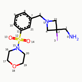 NCC1(I)CN(Cc2cccc(S(=O)(=O)N3CCOCC3)c2)C1